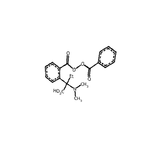 CCC(C(=O)O)(c1ccccc1C(=O)OOC(=O)c1ccccc1)N(C)C